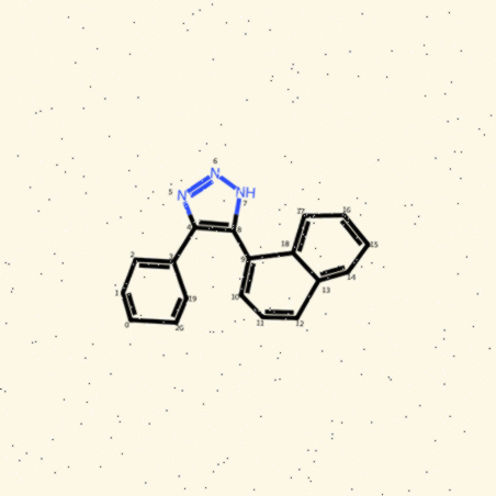 c1ccc(-c2nn[nH]c2-c2cccc3ccccc23)cc1